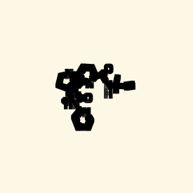 C#CC(C)(C)NC(=O)c1ccc2c(n1)N(C(=O)Nc1ccccn1)[C@@]1(NC)CCN2C1